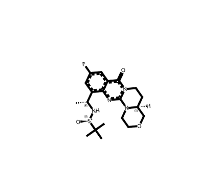 C[C@@H](N[S@+]([O-])C(C)(C)C)c1cc(F)cc2c(=O)n3c(nc12)N1CCOC[C@@H]1CC3